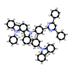 c1ccc(-c2cc(-c3ccccc3)nc(-c3ccc(-n4c5ccccc5c5c4ccc4c6ccccc6n(-c6ccccc6)c45)c(-c4cccc(-n5c6ccccc6c6ccccc65)c4)c3)n2)cc1